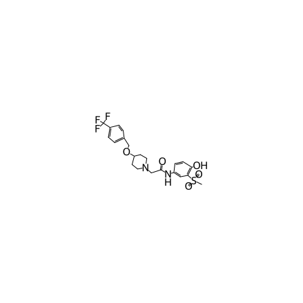 CS(=O)(=O)c1cc(NC(=O)CN2CCC(OCc3ccc(C(F)(F)F)cc3)CC2)ccc1O